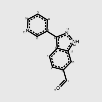 O=Cc1ccc2c(-c3cccnc3)n[nH]c2c1